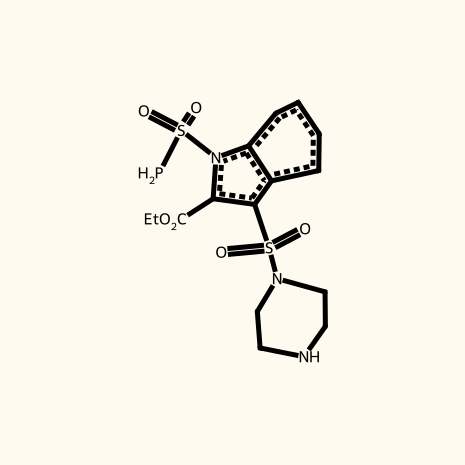 CCOC(=O)c1c(S(=O)(=O)N2CCNCC2)c2ccccc2n1S(=O)(=O)P